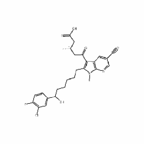 C[C@H](CC(=O)O)CC(=O)c1c(CCCCCC(O)c2ccc(F)c(Cl)c2)n(C)c2ncc(C#N)cc12